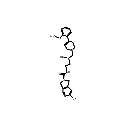 COc1ccccc1C1=CCN(C[C@H](O)CCNC(=O)N2Cc3cnc(C)cc3C2)CC1